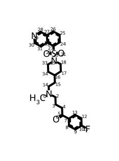 CN(CCCC(=O)c1ccc(F)cc1)CCC1CCN(S(=O)(=O)c2cccc3cnccc23)CC1